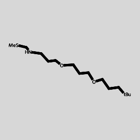 CSCNCCCOCCCOCCCC(C)(C)C